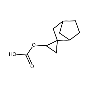 O=C(O)OC1CC12CC1CCC2C1